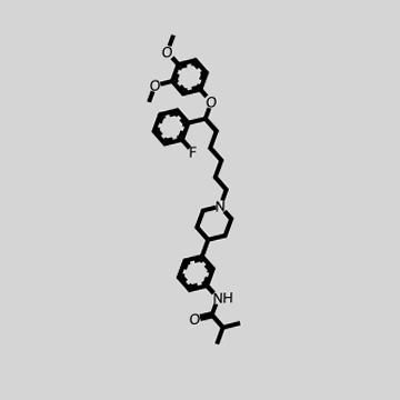 COc1ccc(OC(CCCCCN2CCC(c3cccc(NC(=O)C(C)C)c3)CC2)c2ccccc2F)cc1OC